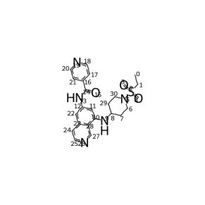 CCS(=O)(=O)N1CCC(Nc2cc(NC(=O)c3ccncc3)cc3ccncc23)CC1